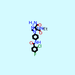 CCNC(=O)c1c(C(N)=O)ncn1-c1ccc(NC(=O)c2ccc(F)cc2Cl)cc1